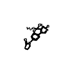 CC1(C)Oc2cc(N3CCCC3=O)ccc2-c2cnc(Cl)cc21